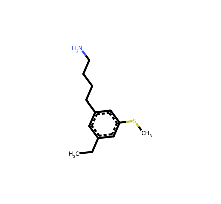 CCc1cc(CCCCN)cc(SC)c1